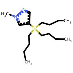 CCCCS(CCCC)(CCCC)c1cnn(C)c1